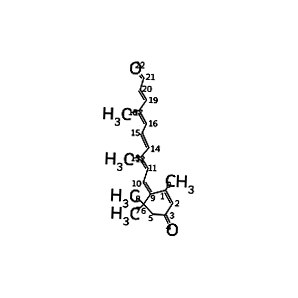 CC1=CC(=O)CC(C)(C)/C1=C/C=C(C)/C=C/C=C(C)/C=C/C=O